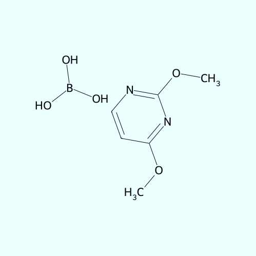 COc1ccnc(OC)n1.OB(O)O